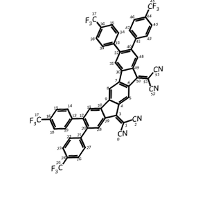 N#CC(C#N)=C1c2cc3c(cc2-c2cc(-c4ccc(C(F)(F)F)cc4)c(-c4ccc(C(F)(F)F)cc4)cc21)-c1cc(-c2ccc(C(F)(F)F)cc2)c(-c2ccc(C(F)(F)F)cc2)cc1C3=C(C#N)C#N